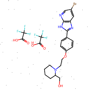 O=C(O)C(F)(F)F.O=C(O)C(F)(F)F.OCC1CCCCN1CCOc1ccc(-c2nc3cc(Br)cnc3[nH]2)cc1